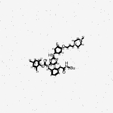 CCC(C)NC(=O)Cc1cccc(CN(C(=O)Oc2c(C)cc(C)cc2C)c2ccnc(Nc3ccc(OCCCN4CCN(C)CC4)c(F)c3)n2)c1